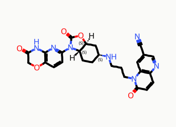 N#Cc1cnc2ccc(=O)n(CCCN[C@H]3CC[C@H]4[C@H](C3)OC(=O)N4c3ccc4c(n3)NC(=O)CO4)c2c1